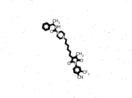 CC1=C(CCCCCCN2CCN(C(=O)N[C@H](C)c3ccccc3)CC2)C(=O)N(c2ccc(C#N)c(C(F)(F)F)c2)C1=O